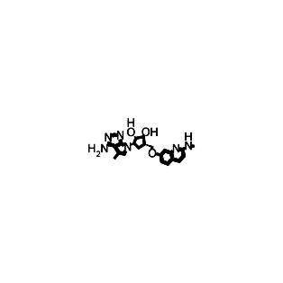 CNc1ccc2ccc(OC[C@H]3C[C@@H](n4cc(C)c5c(N)ncnc54)[C@H](O)[C@@H]3O)cc2n1